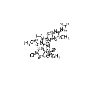 Cc1cn2nc([C@@H]3CC[C@H](C)CN3C(=O)c3cc(Cl)ccc3NS(C)(=O)=O)cc2nc1N1CCC1